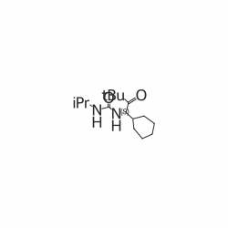 CC(C)NC(=O)N[C@H](C(=O)C(C)(C)C)C1CCCCC1